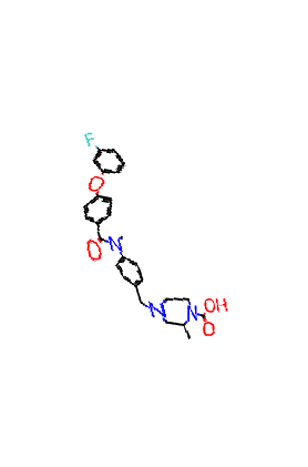 C[C@H]1CN(Cc2ccc(N(C)C(=O)c3ccc(Oc4cccc(F)c4)cc3)cc2)CCN1C(=O)O